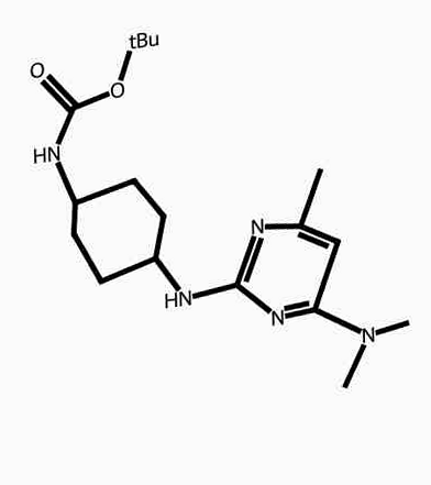 Cc1cc(N(C)C)nc(NC2CCC(NC(=O)OC(C)(C)C)CC2)n1